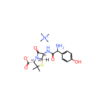 CC1(C)S[C@@H]2[C@H](NC(=O)C(N)c3ccc(O)cc3)C(=O)N2[C@H]1C(=O)[O-].C[N+](C)(C)C